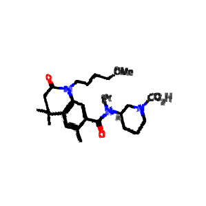 COCCCCN1C(=O)CC(C)(C)c2cc(C)c(C(=O)N(C(C)C)[C@@H]3CCCN(C(=O)O)C3)cc21